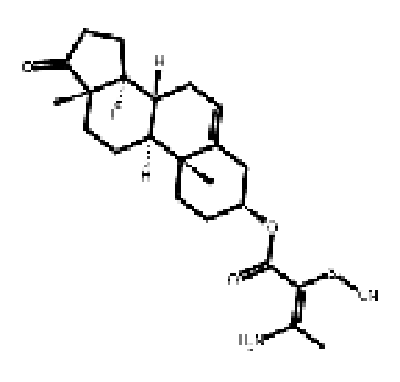 C/C(N)=C(\SC#N)C(=O)O[C@H]1CC[C@@]2(C)C(=CC[C@@H]3[C@@H]2CC[C@]2(C)C(=O)CC[C@@H]32)C1